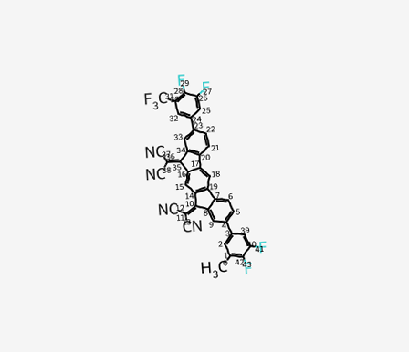 Cc1cc(-c2ccc3c(c2)C(=C(C#N)C#N)c2cc4c(cc2-3)-c2ccc(-c3cc(F)c(F)c(C(F)(F)F)c3)cc2C4=C(C#N)C#N)cc(F)c1F